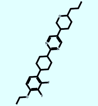 CCCC1CCC(c2cnc(C3CCC(c4ccc(OCC)c(F)c4F)CC3)nc2)CO1